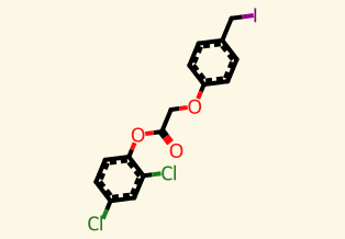 O=C(COc1ccc(CI)cc1)Oc1ccc(Cl)cc1Cl